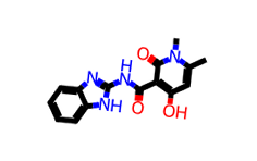 Cc1cc(O)c(C(=O)Nc2nc3ccccc3[nH]2)c(=O)n1C